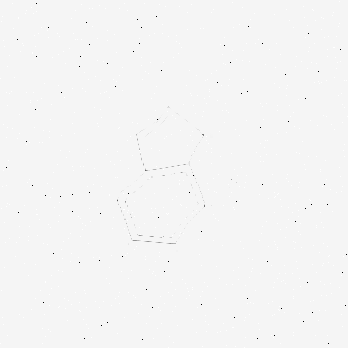 C1=Cc2ccccc2C1.[Zr]